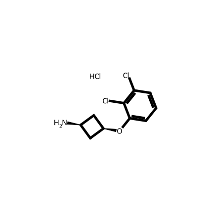 Cl.N[C@H]1C[C@@H](Oc2cccc(Cl)c2Cl)C1